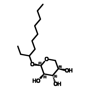 CCCCCCCC(CC)O[C@H]1OC[C@@H](O)[C@H](O)[C@H]1O